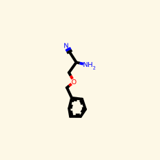 N#CC(N)COCc1ccccc1